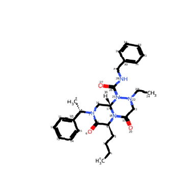 CCCC[C@H]1C(=O)N([C@@H](C)c2ccccc2)C[C@H]2N1C(=O)CN(CC)N2C(=O)NCc1ccccc1